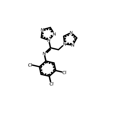 Clc1cc(Cl)c(/N=C(\Cn2cncn2)n2cncn2)cc1Cl